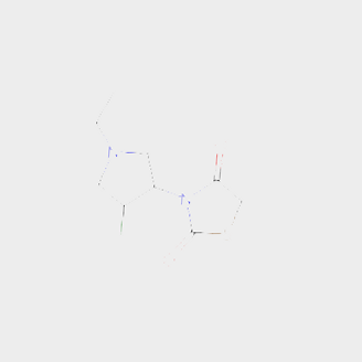 CCN1CC(F)C(N2C(=O)CSC2=O)C1